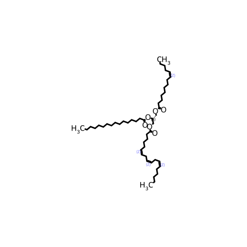 CCCC/C=C\CCCCCCCC(=O)OC[C@H](COC(=O)CCCC/C=C\C/C=C\C/C=C\CCCCC)OC(=O)CCCCCCCCCCCCCCC